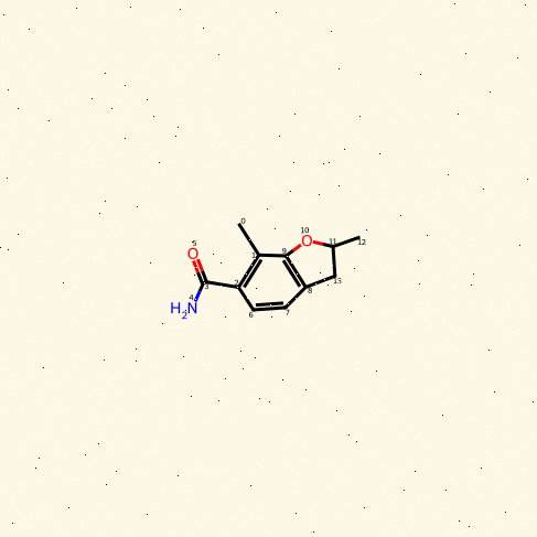 Cc1c(C(N)=O)ccc2c1OC(C)C2